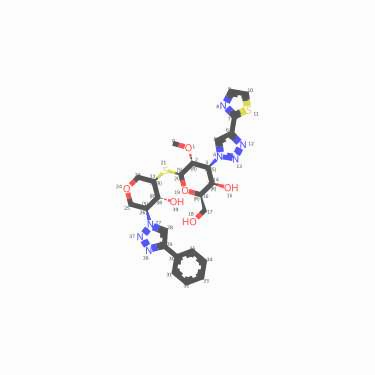 CO[C@@H]1[C@@H](n2cc(-c3nccs3)nn2)[C@@H](O)[C@@H](CO)O[C@H]1S[C@@H]1COC[C@H](n2cc(-c3ccccc3)nn2)[C@H]1O